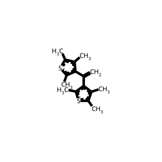 C=C(c1c(C)sc(C)c1C)c1c(C)sc(C)c1C